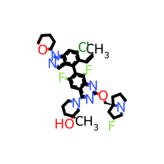 C/C=C\c1c(Cl)cc2c(cnn2C2CCCCO2)c1-c1c(F)cc2c(N3CCC[C@@](C)(O)C3)nc(OC[C@@]34CCCN3C[C@H](F)C4)nc2c1F